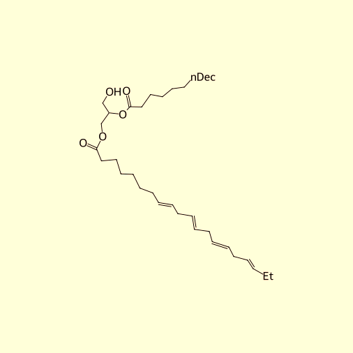 CCC=CCC=CCC=CCC=CCCCCCCC(=O)OCC(CO)OC(=O)CCCCCCCCCCCCCCC